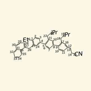 CCc1ccc(-c2ccc(-c3ccc(CCC#N)cc3CC(C)C)cc2CC(C)C)cc1Cc1cccc2ccccc12